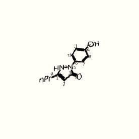 CCCc1cc(=O)n(-c2ccc(O)cc2)[nH]1